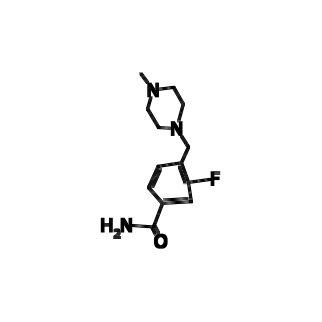 CN1CCN(Cc2ccc(C(N)=O)cc2F)CC1